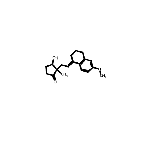 COc1ccc2c(c1)CCC/C2=C\CC1(C)C(=O)CCC1O